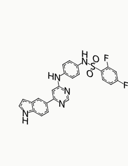 O=S(=O)(Nc1ccc(Nc2cc(-c3ccc4[nH]ccc4c3)ncn2)cc1)c1ccc(F)cc1F